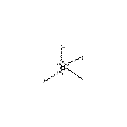 CCCCCCCCCCc1cc(C(=O)OCCCCCCCC(C)C)cc(C(=O)OCCCCCCCC(C)C)c1C(=O)OCCCCCCCC(C)C